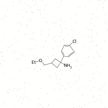 CCO[CH]C1CC(N)(c2ccc(Cl)cc2)C1